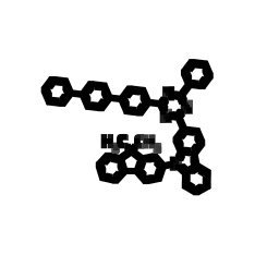 CC1(C)c2ccccc2-c2ccc(-n3c4ccccc4c4ccc(-c5nc(-c6ccccc6)nc(-c6ccc(-c7ccc(-c8ccccc8)cc7)cc6)n5)cc43)cc21